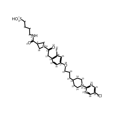 O=C(NCCCCS(=O)(=O)O)C1CN(C(=O)Cc2ccc(OCCCC3CCN(c4ncc(Cl)cn4)CC3)cc2F)C1